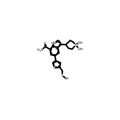 CC(C)SCc1cc(-c2cc(C(N)=O)c3[nH]cc(C4CCS(O)(O)CC4)c3c2)cs1